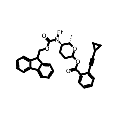 CCN(C(=O)OCC1c2ccccc2-c2ccccc21)[C@@H]1CCC(OC(=O)c2ccccc2C#CC2CC2)O[C@H]1C